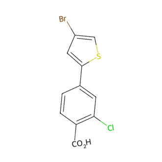 O=C(O)c1ccc(-c2cc(Br)cs2)cc1Cl